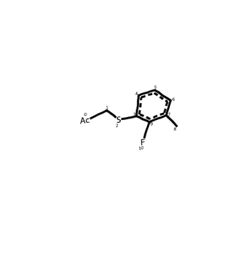 CC(=O)CSc1cccc(C)c1F